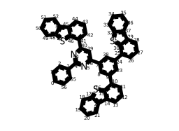 c1ccc(-c2nc(-c3cc(-c4cccc5c4sc4ccccc45)cc(-c4cccc5c4sc4ccccc45)c3)cc(-c3cccc4c3sc3ccccc34)n2)cc1